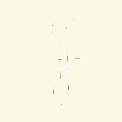 C[C@](C#N)(COc1cc(C#N)ccc1C(F)(F)F)NC(=O)c1ccc(S)cc1